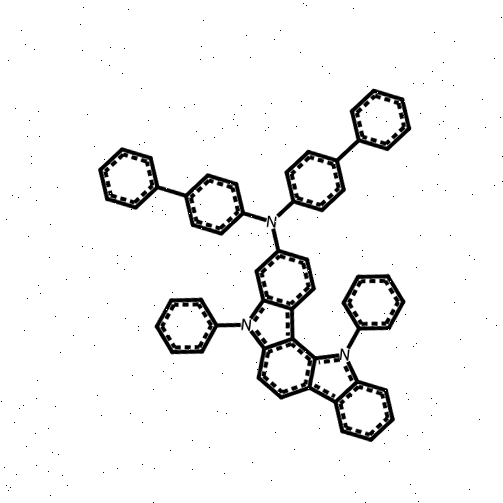 c1ccc(-c2ccc(N(c3ccc(-c4ccccc4)cc3)c3ccc4c5c(ccc6c7ccccc7n(-c7ccccc7)c65)n(-c5ccccc5)c4c3)cc2)cc1